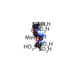 CCc1ccc(C(=O)Nc2ccc(S(=O)(=O)O)c3cc(S(=O)(=O)O)cc(S(=O)(=O)O)c23)cc1NC(=O)Nc1cc(C(=O)Nc2ccc(S(=O)(=O)O)c3cc(S(=O)(=O)O)cc(S(=O)(=O)O)c23)ccc1COC